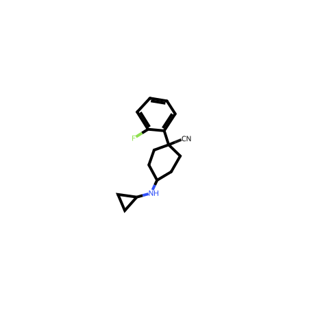 N#CC1(c2ccccc2F)CCC(NC2CC2)CC1